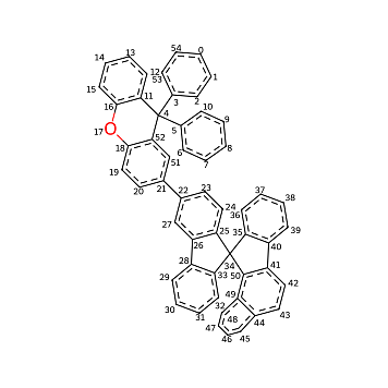 c1ccc(C2(c3ccccc3)c3ccccc3Oc3ccc(-c4ccc5c(c4)-c4ccccc4C54c5ccccc5-c5ccc6ccccc6c54)cc32)cc1